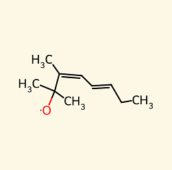 CCC=CC=C(C)C(C)(C)[O]